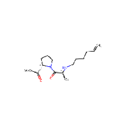 C=CCCCCN[C@H](C(=O)N1CCC[C@H]1C(=O)OC)C(C)(C)C